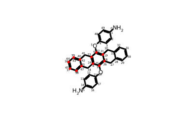 Nc1ccc(Oc2c3c(c(Oc4ccc(N)cc4)c4c2C2c5ccccc5C4c4ccccc42)C2c4ccccc4C3c3ccccc32)cc1